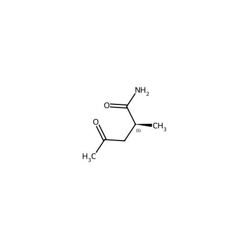 CC(=O)C[C@H](C)C(N)=O